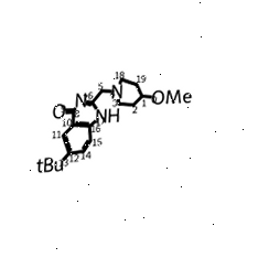 COC1CCN(Cc2nc(=O)c3cc(C(C)(C)C)ccc3[nH]2)CC1